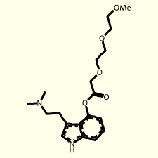 COCCOCCOCC(=O)Oc1cccc2[nH]cc(CCN(C)C)c12